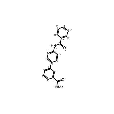 CNC(=O)c1cccc(-c2ccc(NC(=O)c3cncnc3)nc2)c1